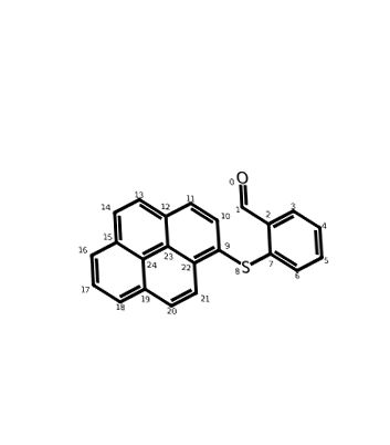 O=Cc1ccccc1Sc1ccc2ccc3cccc4ccc1c2c34